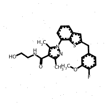 COc1cc(Cc2cc3cccc(-n4nc(C)c(C(=O)NCCO)c4C)c3s2)ccc1F